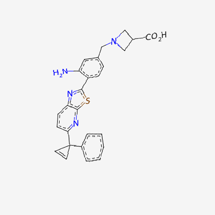 Nc1cc(CN2CC(C(=O)O)C2)ccc1-c1nc2ccc(C3(c4ccccc4)C=C3)nc2s1